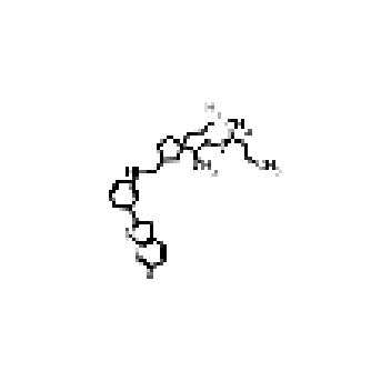 C=C(C/N=C(\C)CCC)C1(CCC)CCC(CNc2cccc(C3=Nc4cc(F)ccc4C3)c2)C1